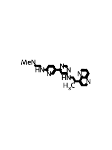 CNCCNc1ccc(-c2cc(NC[C@@H](C)c3ccnc4cccnc34)ncn2)cn1